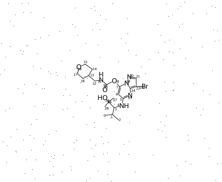 CC(C)C(Nc1cc(OC(=O)NCC2CCOCC2)n2ncc(Br)c2n1)C(C)(C)O